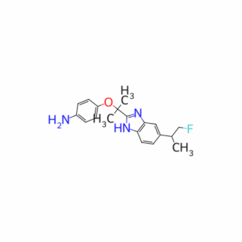 CC(CF)c1ccc2[nH]c(C(C)(C)Oc3ccc(N)cc3)nc2c1